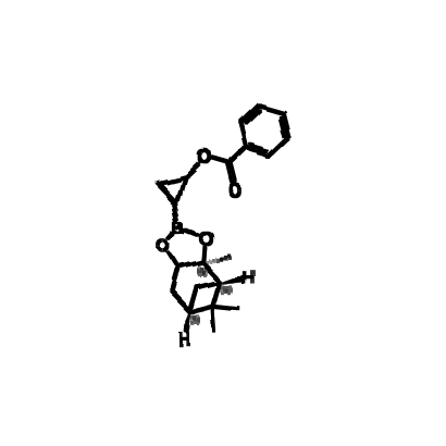 CC1(C)[C@@H]2CC3OB(C4CC4OC(=O)c4ccccc4)O[C@@]3(C)[C@H]1C2